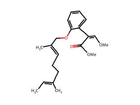 CC=C(C)CCC=C(C)COc1ccccc1C(=COC)C(=O)OC